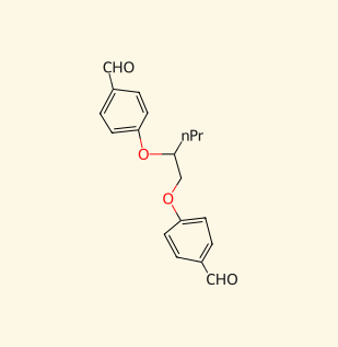 CCCC(COc1ccc(C=O)cc1)Oc1ccc(C=O)cc1